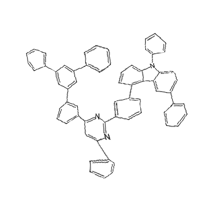 c1ccc(-c2cc(-c3ccccc3)cc(-c3cccc(-c4cc(-c5ccccc5)nc(-c5cccc(-c6cccc7c6c6cc(-c8ccccc8)ccc6n7-c6ccccc6)c5)n4)c3)c2)cc1